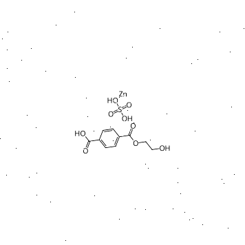 O=C(O)c1ccc(C(=O)OCCO)cc1.O=S(=O)(O)O.[Zn]